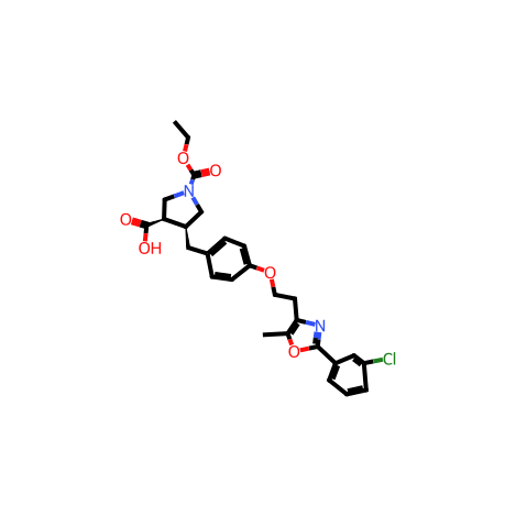 CCOC(=O)N1C[C@@H](Cc2ccc(OCCc3nc(-c4cccc(Cl)c4)oc3C)cc2)[C@@H](C(=O)O)C1